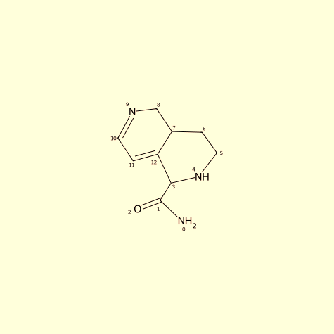 NC(=O)C1NCCC2CN=CC=C21